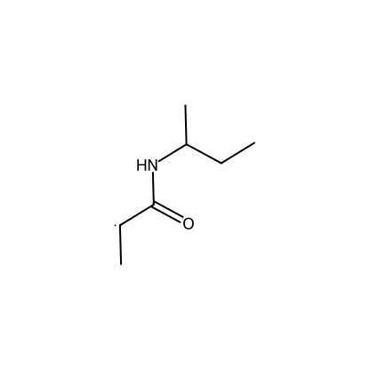 C[CH]C(=O)NC(C)CC